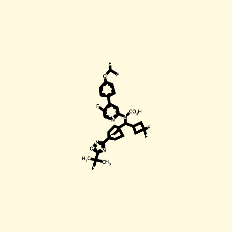 CC(C)(F)c1nc(C23CCC(C(C4CC(F)(F)C4)N(C(=O)O)c4cc(-c5ccc(OC(F)F)cc5)c(F)cn4)(CC2)CC3)no1